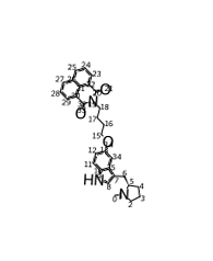 CN1CCC[C@@H]1Cc1c[nH]c2ccc(OCCCCN3C(=O)c4cccc5cccc(c45)C3=O)cc12